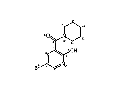 Cc1ncc(Br)cc1C(=O)N1CCCCC1